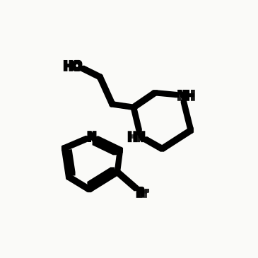 Brc1cccnc1.OCCC1CNCCN1